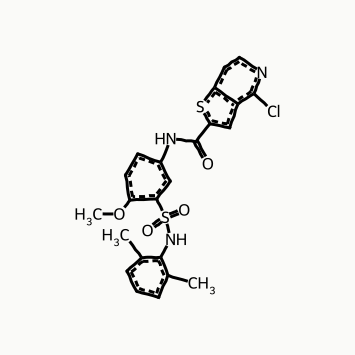 COc1ccc(NC(=O)c2cc3c(Cl)nccc3s2)cc1S(=O)(=O)Nc1c(C)cccc1C